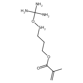 C=C(C)C(=O)OCCC[SiH2]OC(N)(N)N